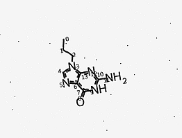 CCCn1cnc2c(=O)[nH]c(N)nc21